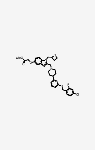 COC(=O)COc1ccc2c(c1)nc(CN1CCC(c3cccc(OCc4ccc(Cl)cc4F)n3)CC1)n2C[C@@H]1CCO1